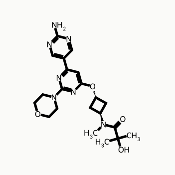 CN(C(=O)C(C)(C)O)[C@H]1C[C@H](Oc2cc(-c3cnc(N)nc3)nc(N3CCOCC3)n2)C1